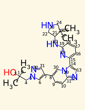 CC(C)(O)Cn1cc(-c2ccc3ncc(-c4cccc(NC5CNCC5(C)C)n4)n3c2)cn1